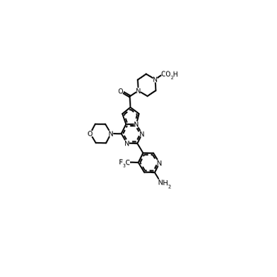 Nc1cc(C(F)(F)F)c(-c2nc(N3CCOCC3)c3cc(C(=O)N4CCN(C(=O)O)CC4)cn3n2)cn1